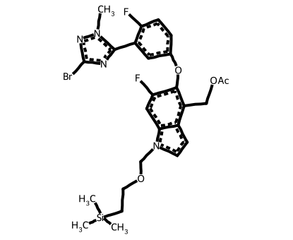 CC(=O)OCc1c(Oc2ccc(F)c(-c3nc(Br)nn3C)c2)c(F)cc2c1ccn2COCC[Si](C)(C)C